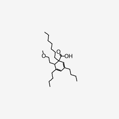 CCCCCCCC1(C(=O)O)C=C(CCCC)C=C(CCCC)C1CCOC